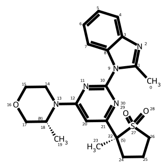 Cc1nc2ccccc2n1-c1nc(N2CCOC[C@H]2C)cc([C@]2(C)CCCS2(=O)=O)n1